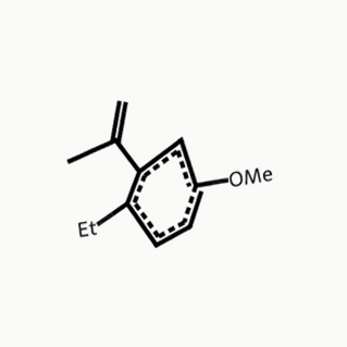 C=C(C)c1cc(OC)ccc1CC